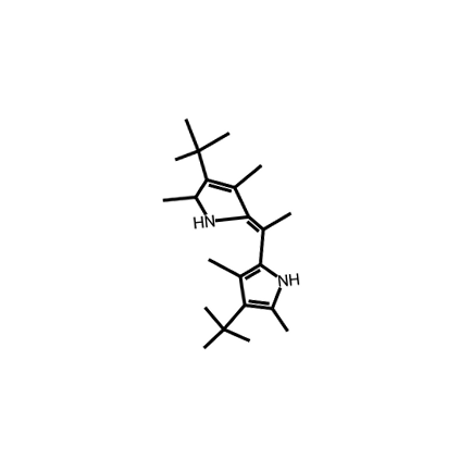 CC1=C(C(C)(C)C)C(C)N/C1=C(/C)c1[nH]c(C)c(C(C)(C)C)c1C